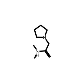 C=C(CN1CCCC1)[SiH](C)C